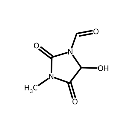 CN1C(=O)C(O)N(C=O)C1=O